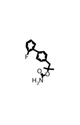 CC(C)(Cc1ccc(-c2ccccc2F)cc1)OC(N)=O